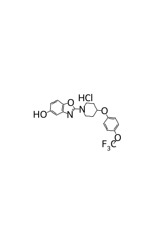 Cl.Oc1ccc2oc(N3CCC(Oc4ccc(OC(F)(F)F)cc4)CC3)nc2c1